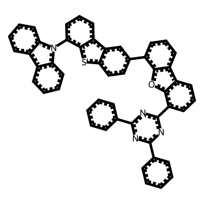 c1ccc(-c2nc(-c3ccccc3)nc(-c3cccc4c3oc3c(-c5ccc6sc7c(-n8c9ccccc9c9ccccc98)cccc7c6c5)cccc34)n2)cc1